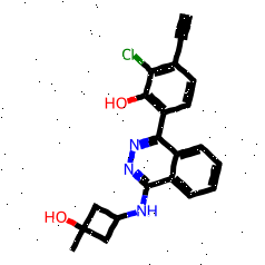 C#Cc1ccc(-c2nnc(NC3CC(C)(O)C3)c3ccccc23)c(O)c1Cl